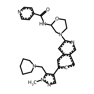 Cn1ncc(-c2ccc3cnc(N4CCOC(NC(=O)c5ccncc5)C4)cc3c2)c1CN1CCCCC1